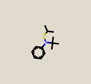 CC(C)SN(c1ccccc1)C(C)(C)C